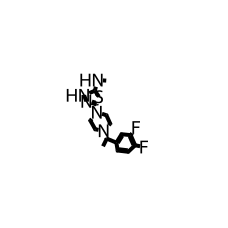 CNC1NN=C(N2CCN(C(C)c3ccc(F)c(F)c3)CC2)S1